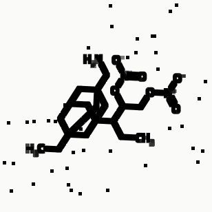 CCC(C(CO[N+](=O)[O-])O[N+](=O)[O-])C12CC3CC(CC)(CC(CN)(C3)C1)C2